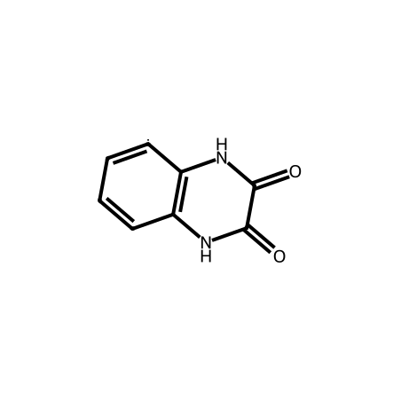 O=c1[nH]c2[c]cccc2[nH]c1=O